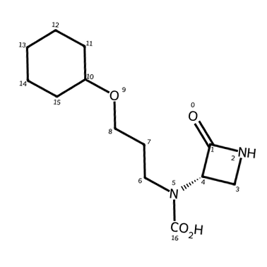 O=C1NC[C@@H]1N(CCCOC1CCCCC1)C(=O)O